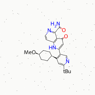 CO[C@H]1CC[C@@H](c2cc(C(C)(C)C)ncc2-c2cc(=O)c3c(C(N)=O)nccc3[nH]2)CC1